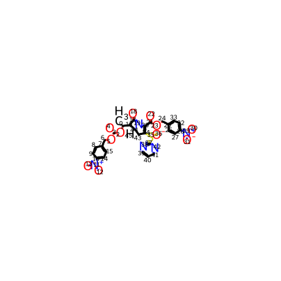 C[C@@H](OC(=O)OCc1ccc([N+](=O)[O-])cc1)C1C(=O)N2C(C(=O)OCc3ccc([N+](=O)[O-])cc3)=C([S+]([O-])c3ncccn3)C[C@@H]12